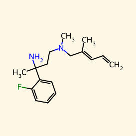 C=C/C=C(\C)CN(C)CCC(C)(N)c1ccccc1F